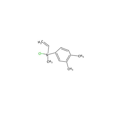 C=C[Si](C)(Cl)c1ccc(C)c(C)c1